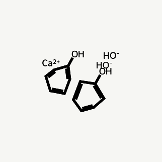 Oc1ccccc1.Oc1ccccc1.[Ca+2].[OH-].[OH-]